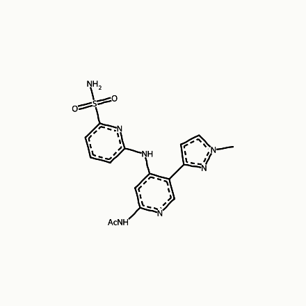 CC(=O)Nc1cc(Nc2cccc(S(N)(=O)=O)n2)c(-c2ccn(C)n2)cn1